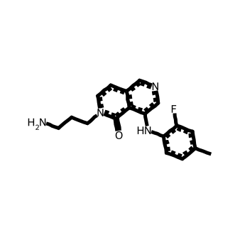 Cc1ccc(Nc2cncc3ccn(CCCN)c(=O)c23)c(F)c1